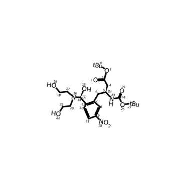 CC(C)(C)OC(=O)C[C@H](Cc1cc([N+](=O)[O-])ccc1[C@H](O)N(CCO)CCO)NC(=O)OC(C)(C)C